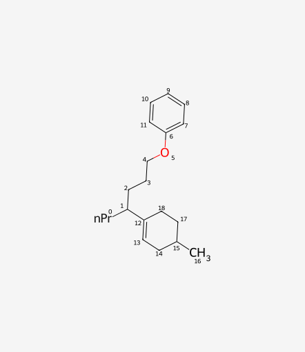 CCCC(CCCOc1ccccc1)C1=CCC(C)CC1